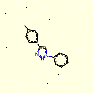 Cc1ccc(-c2cn(-c3ccccc3)nn2)cc1